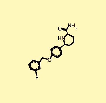 NC(=O)[C@H]1CCC[C@@H](c2ccc(OCc3cccc(F)c3)cc2)N1